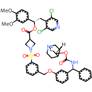 COc1ccc([C@H](Cc2c(Cl)cncc2Cl)OC(=O)C2CN(S(=O)(=O)c3cccc(COc4cccc([C@@H](NC(=O)O[C@H]5CN6CCC5CC6)c5ccccc5)c4)c3)C2)cc1OC